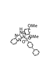 COc1cc(Nc2nc3ccccc3nc2NS(=O)(=O)c2ccc(-c3ccccc3)cc2)cc(OC)c1